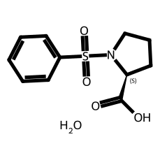 O.O=C(O)[C@@H]1CCCN1S(=O)(=O)c1ccccc1